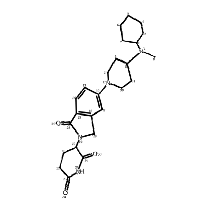 CN(C1CCCCC1)C1CCN(c2ccc3c(c2)CN(C2CCC(=O)NC2=O)C3=O)CC1